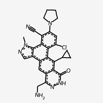 Cn1ncc2c3cc4c(CN)n[nH]c(=O)c4c(C4CC4)c3c3c(Cl)cc(N4CCCC4)c(C#N)c3c21